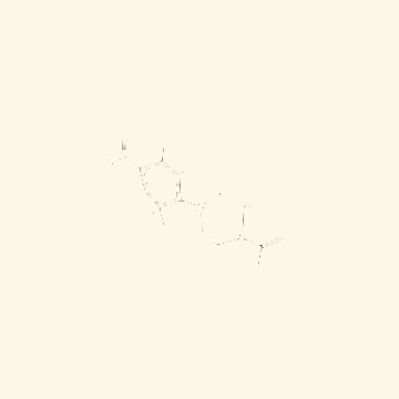 CC(=O)N1CCN(c2cc(F)c([N+](=O)[O-])cc2F)CC1